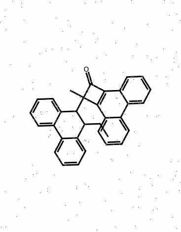 CCC1c2ccccc2-c2ccccc2C1C1(C)C(=O)c2c1c1ccccc1c1ccccc21